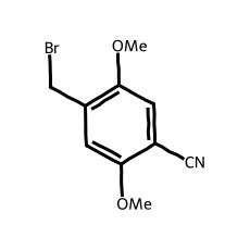 COc1cc(CBr)c(OC)cc1C#N